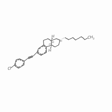 CCCCCCC[C@@H]1CC[C@@H]2c3ccc(C#Cc4ccc(Cl)cc4)cc3CC[C@@H]2C1